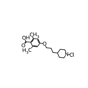 Cc1cc(OCCCC2CCN(Cl)CC2)cc(C)c1C(=O)O